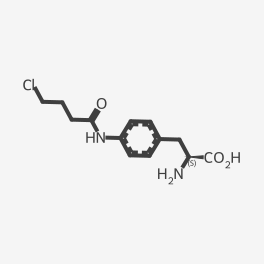 N[C@@H](Cc1ccc(NC(=O)CCCCl)cc1)C(=O)O